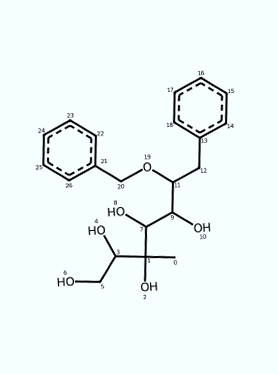 CC(O)(C(O)CO)C(O)C(O)C(Cc1ccccc1)OCc1ccccc1